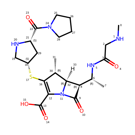 CNCC(=O)N[C@H](C)[C@H]1C(=O)N2C(C(=O)O)=C(S[C@@H]3CN[C@H](C(=O)N4CCCC4)C3)[C@H](C)[C@@H]12